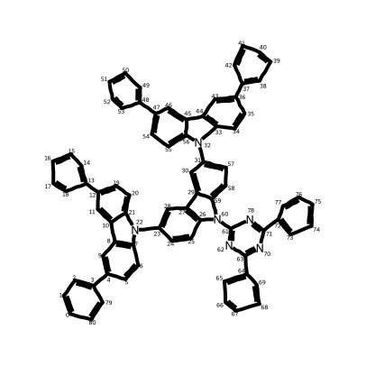 c1ccc(-c2ccc3c(c2)c2cc(-c4ccccc4)ccc2n3-c2ccc3c(c2)c2cc(-n4c5ccc(-c6ccccc6)cc5c5cc(-c6ccccc6)ccc54)ccc2n3-c2nc(-c3ccccc3)nc(-c3ccccc3)n2)cc1